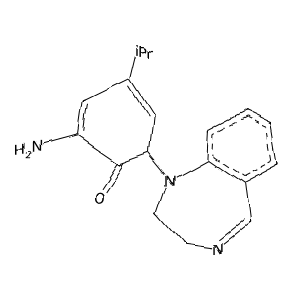 CC(C)C1=CC(N2CCN=Cc3ccccc32)C(=O)C(N)=C1